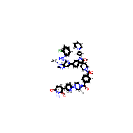 CC(C)n1cnc2cc(-c3ccc4c(c3)N([C@H]3C[C@@H](N5CCCCC5)C3)C(=O)C43CCN(C(=O)c4ccc(C(=O)N5CCN(c6ccc(C7CCC(=O)NC7=O)cn6)C[C@H]5C)cc4)CC3)nc(Nc3ccccc3F)c21